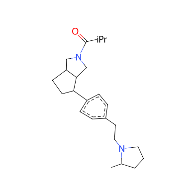 CC(C)C(=O)N1CC2CCC(c3ccc(CCN4CCCC4C)cc3)C2C1